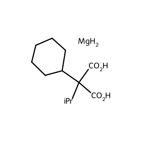 CC(C)C(C(=O)O)(C(=O)O)C1CCCCC1.[MgH2]